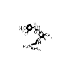 Cc1ccc(NC(=O)Nc2nc(NCCCN(C)C)c(F)c(C(F)(F)F)n2)cc1Cl